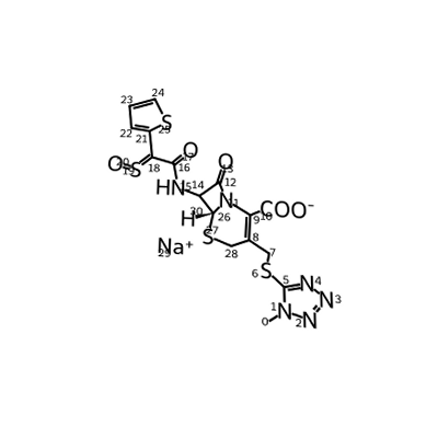 Cn1nnnc1SCC1=C(C(=O)[O-])N2C(=O)C(NC(=O)C(=S=O)c3cccs3)[C@H]2SC1.[Na+]